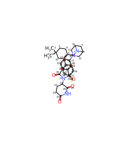 CC1(C)CCC(CN2C3CC2CN(c2ccc4c(c2)C(=O)N(C2CCC(=O)NC2=O)C4=O)C3)=C(c2ccc(F)cc2)C1